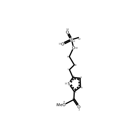 COC(=O)c1ccc(CCCOS(C)(=O)=O)s1